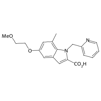 COCCOc1cc(C)c2c(c1)cc(C(=O)O)n2Cc1ccccn1